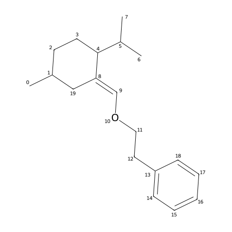 CC1CCC(C(C)C)C(=COCCc2ccccc2)C1